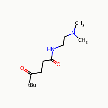 CN(C)CCNC(=O)CCC(=O)C(C)(C)C